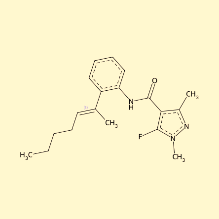 CCCC/C=C(\C)c1ccccc1NC(=O)c1c(C)nn(C)c1F